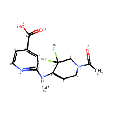 CC(=O)N1CCC(Nc2cc(C(=O)O)ccn2)C(F)(F)C1.[LiH]